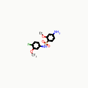 CCOc1cc(N)ccc1S(=O)(=O)Nc1ccc(F)c(OC(F)(F)F)c1